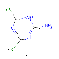 NC1=NC(Cl)=N[C](Cl)N1